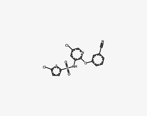 N#Cc1cccc(Oc2ncc(Cl)cc2NS(=O)(=O)c2ccc(Cl)s2)c1